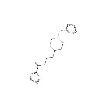 O=C(CCCC1CCN(Cc2ccco2)CC1)c1ncco1